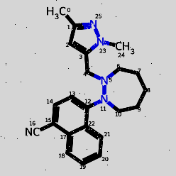 Cc1cc(CN2CCCCCN2c2ccc(C#N)c3ccccc23)n(C)n1